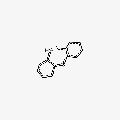 c1ccc2sc3ccccc3[nH][nH]c2c1